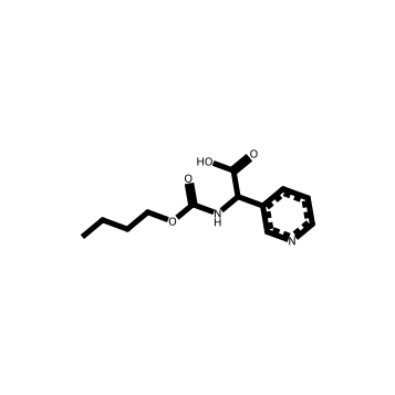 CCCCOC(=O)NC(C(=O)O)c1cccnc1